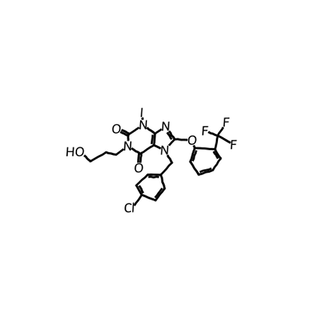 O=c1c2c(nc(Oc3ccccc3C(F)(F)F)n2Cc2ccc(Cl)cc2)n(I)c(=O)n1CCCO